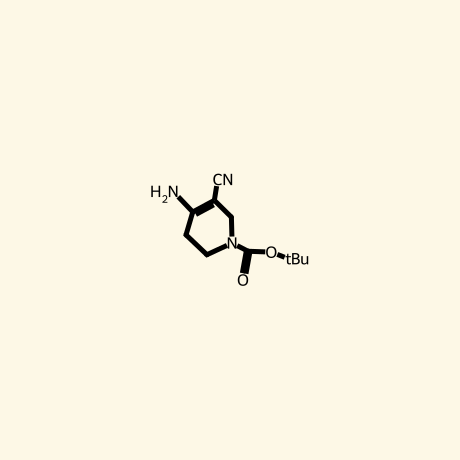 CC(C)(C)OC(=O)N1CCC(N)=C(C#N)C1